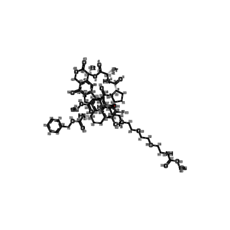 CC[C@@]1(OC(=O)[C@@H](NC(=O)[C@@H]2CCCN2C(=O)[C@H](CC(=O)OC(C)(C)C)NC(=O)CCOCCOCCOCCNC(=O)OC(C)(C)C)C(C)C)C(=O)OCc2c1cc1n(c2=O)Cc2c-1nc1cc(F)c(C)c3c1c2[C@@H](NC(=O)OCc1ccccc1)CC3